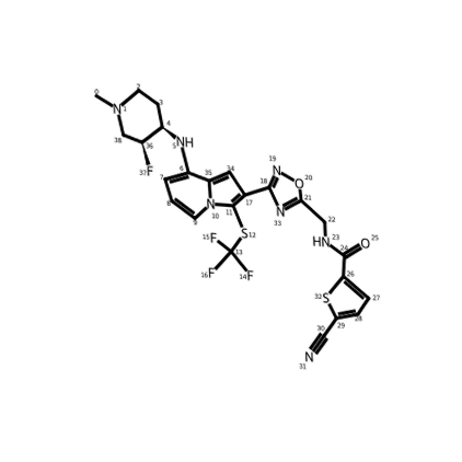 CN1CC[C@@H](Nc2cccn3c(SC(F)(F)F)c(-c4noc(CNC(=O)c5ccc(C#N)s5)n4)cc23)[C@@H](F)C1